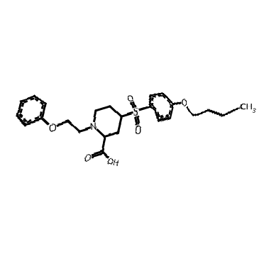 CCCCOc1ccc(S(=O)(=O)C2CCN(CCOc3ccccc3)C(C(=O)O)C2)cc1